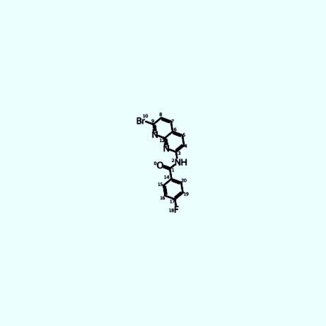 O=C(Nc1ccc2ccc(Br)nc2n1)c1ccc(F)cc1